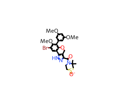 COc1cc(OC)cc(-c2c(OC)c(Br)cc3c2OCc2c(C(=O)N4CC[S+]([O-])CC4(C)C)n[nH]c2-3)c1